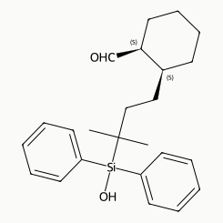 CC(C)(CC[C@@H]1CCCC[C@@H]1C=O)[Si](O)(c1ccccc1)c1ccccc1